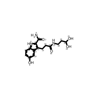 NC(=O)c1[nH]c2ccc(O)cc2c1C[CH]C(=O)NCCC(O)O